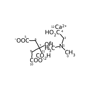 CN(C)CC(=O)O.O=C([O-])CC(O)(CC(=O)[O-])C(=O)O.[Ca+2]